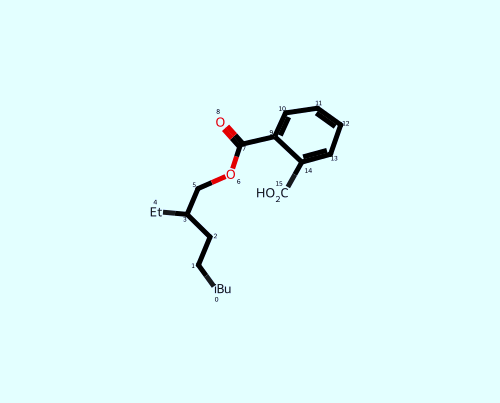 CCC(C)CCC(CC)COC(=O)c1ccccc1C(=O)O